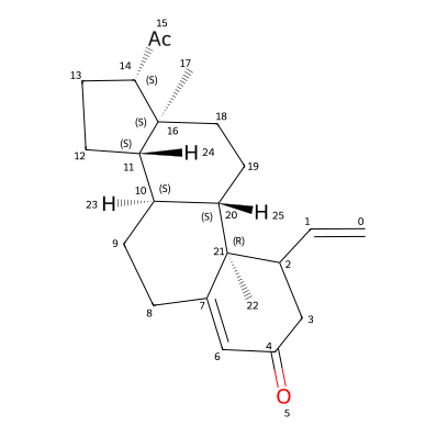 C=CC1CC(=O)C=C2CC[C@H]3[C@@H]4CC[C@H](C(C)=O)[C@@]4(C)CC[C@@H]3[C@]21C